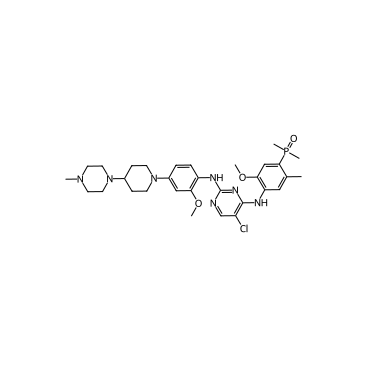 COc1cc(N2CCC(N3CCN(C)CC3)CC2)ccc1Nc1ncc(Cl)c(Nc2cc(C)c(P(C)(C)=O)cc2OC)n1